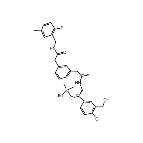 Cc1ccc(F)c(CNC(=O)Cc2cccc(C[C@@H](C)NC[C@H](O[Si](C)(C)C(C)(C)C)c3ccc(O)c(CO)c3)c2)c1